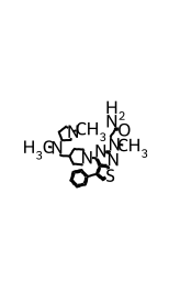 CN1CCC(N(C)CC2CCN(c3nc(N(C)CC(N)=O)nc4scc(-c5ccccc5)c34)CC2)C1